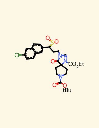 CCOC(=O)NC1(C(=O)N(C)CCC(c2ccc3cc(Cl)ccc3c2)=S(=O)=O)CCN(C(=O)OC(C)(C)C)CC1